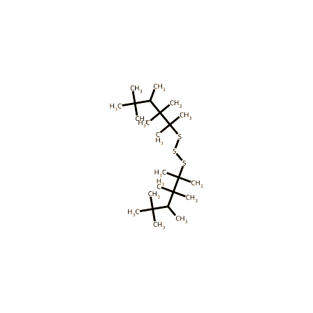 CC(C(C)(C)C)C(C)(C)C(C)(C)SSSC(C)(C)C(C)(C)C(C)C(C)(C)C